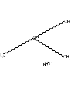 CCCCCCCCCCCCCCCCC[CH2][Sn+]([CH2]CCCCCCCCCCCCCCCCC)[CH2]CCCCCCCCCCCCCCCCC.[N-]=[N+]=[N-]